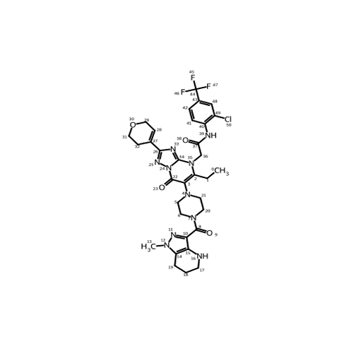 CCc1c(N2CCN(C(=O)c3nn(C)c4c3NCCC4)CC2)c(=O)n2nc(C3=CCOCC3)nc2n1CC(=O)Nc1ccc(C(F)(F)F)cc1Cl